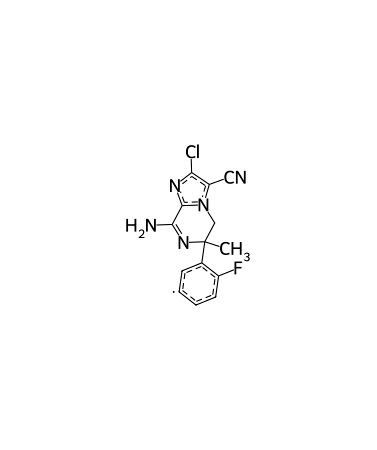 CC1(c2c[c]ccc2F)Cn2c(nc(Cl)c2C#N)C(N)=N1